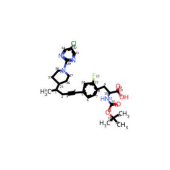 CC(CC#Cc1ccc(CC(NC(=O)OC(C)(C)C)C(=O)O)c(F)c1)C1CCN(c2ncc(Cl)cn2)CC1